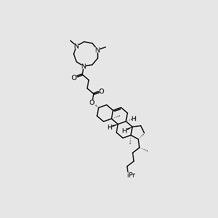 CC(C)CCC[C@@H](C)[C@H]1CC[C@H]2[C@@H]3CC=C4C[C@@H](OC(=O)CCC(=O)N5CCN(C)CCN(C)CC5)CC[C@]4(C)[C@H]3CC[C@]12C